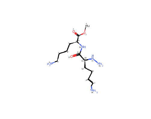 CC(C)(C)OC(=O)[C@H](CCCCN)NC(=O)[C@H](CCCCN)NN